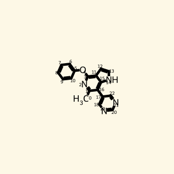 Cc1nc(Oc2ccccc2)c2cc[nH]c2c1-c1cncnc1